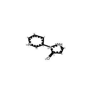 O=c1cc[nH]n1-c1cccnc1